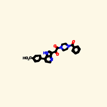 O=C(O)c1ccc(-c2ccnc3c(C(=O)C(=O)N4CCN(C(=O)c5ccccc5)CC4)c[nH]c23)cc1